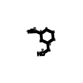 CCC[CH]C1CCCC(CO)C1